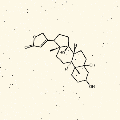 C[C@]12CC[C@H](O)CC1(O)CC[C@@H]1[C@@H]2CC[C@]2(C)[C@@H](C3=CC(=O)OC3)CC[C@]12O